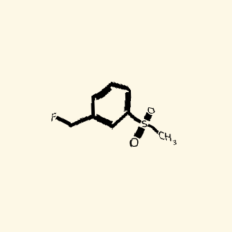 CS(=O)(=O)c1[c]c(CF)ccc1